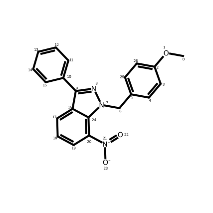 COc1ccc(Cn2nc(-c3ccccc3)c3cccc([N+](=O)[O-])c32)cc1